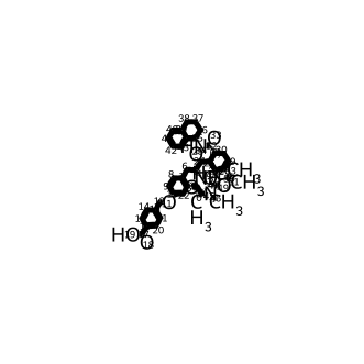 C[C@@H](C(=O)NC(Cc1ccc(OCc2ccc(C(=O)O)cc2)cc1)C(=O)C1CC=CC[C@H]1C(=O)NC1CCCc2ccccc21)N(C)C(=O)OC(C)(C)C